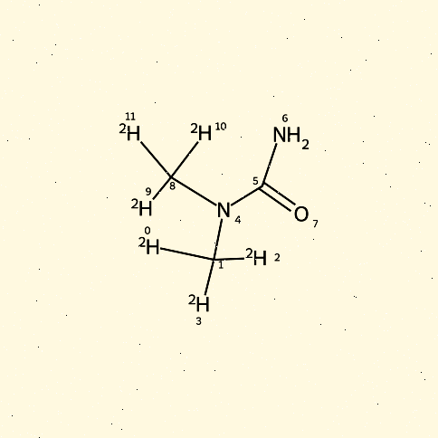 [2H]C([2H])([2H])N(C(N)=O)C([2H])([2H])[2H]